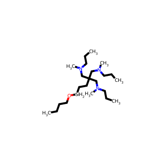 CCCCO[SiH2]CCC(CN(C)CCC)(CN(C)CCC)CN(C)CCC